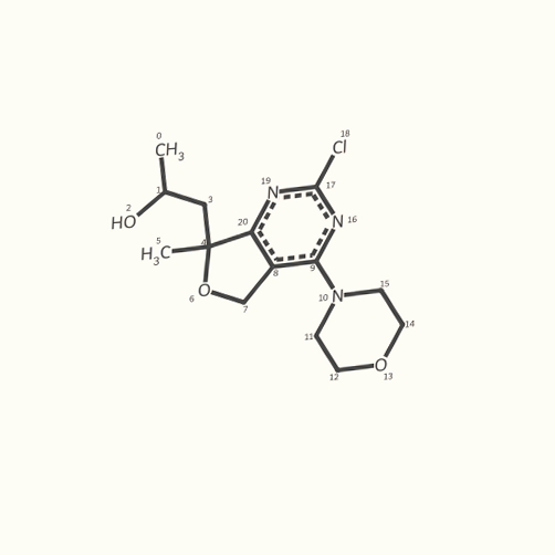 CC(O)CC1(C)OCc2c(N3CCOCC3)nc(Cl)nc21